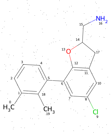 Cc1cccc(-c2cc(Cl)cc3c2OC(CN)C3)c1C